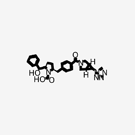 O=C(c1ccc(C[C@@H]2CC[C@H]([C@H](O)c3ccccc3)N2C(=O)O)cc1)N1C[C@@H]2C(n3cnnn3)[C@@H]2C1